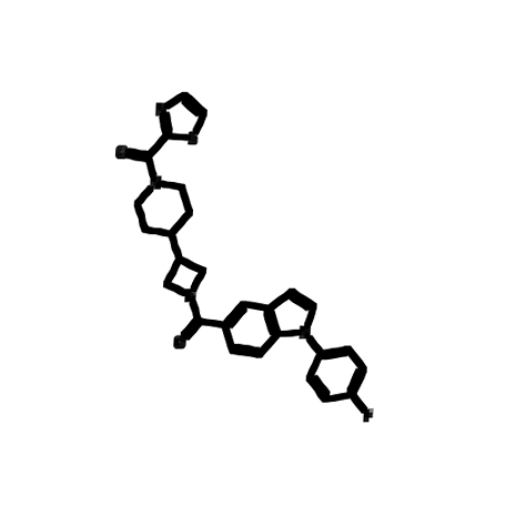 O=C(c1ccc2c(ccn2-c2ccc(F)cc2)c1)N1CC(C2CCN(C(=O)c3nccs3)CC2)C1